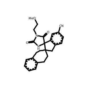 COCCN1C(=O)NC2(C1=O)c1cc(C#N)ccc1CC21CCc2ccccc2CC1